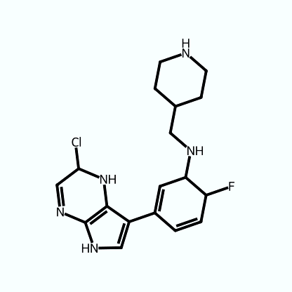 FC1C=CC(c2c[nH]c3c2NC(Cl)C=N3)=CC1NCC1CCNCC1